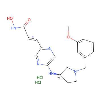 COc1cccc(CN2CC[C@@H](Nc3cnc(/C=C/C(=O)NO)cn3)C2)c1.Cl.Cl